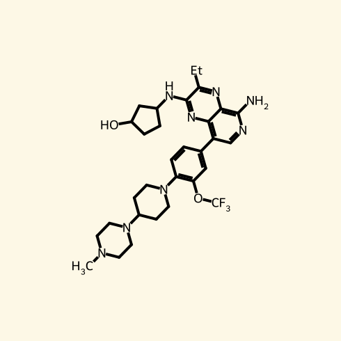 CCc1nc2c(N)ncc(-c3ccc(N4CCC(N5CCN(C)CC5)CC4)c(OC(F)(F)F)c3)c2nc1NC1CCC(O)C1